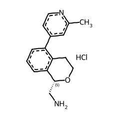 Cc1cc(-c2cccc3c2CCO[C@@H]3CN)ccn1.Cl